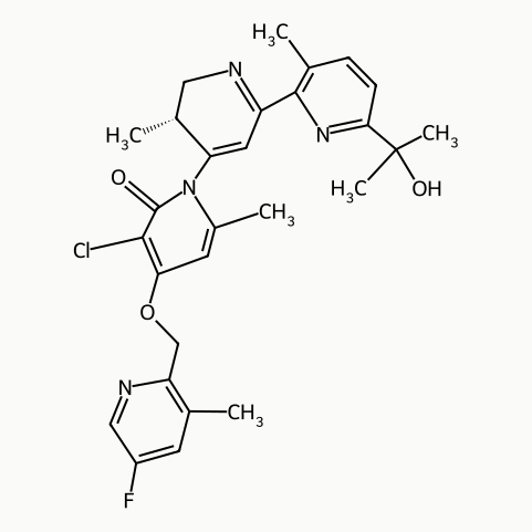 Cc1cc(F)cnc1COc1cc(C)n(C2=CC(c3nc(C(C)(C)O)ccc3C)=NC[C@H]2C)c(=O)c1Cl